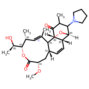 CO[C@H]1C[C@H]2C=C[C@@H]3[C@H]4C(=O)C(C)C(N5CCCC5)[C@@H]3O[C@@]24/C(C)=C/[C@@H](C)[C@@H]([C@@H](C)O)OC1=O